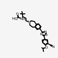 CC(C)Oc1ccc(-c2nc(-c3ccc4c(c3)CCN(CCC(NC(=O)O)C(C)(C)C)CC4)no2)cc1C#N